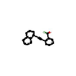 O=C(Cl)c1ccccc1C#Cc1cccc2ccccc12